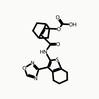 O=C(O)OC1=C(C(=O)Nc2sc3c(c2-c2ncon2)CCCC3)C2CCC1CC2